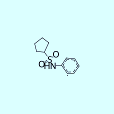 O=S(=O)(Nc1[c]cccc1)C1CCCC1